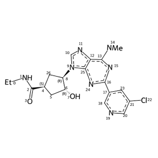 CCNC(=O)[C@@H]1C[C@@H](O)[C@H](n2cnc3c(NC)nc(-c4cncc(Cl)c4)nc32)C1